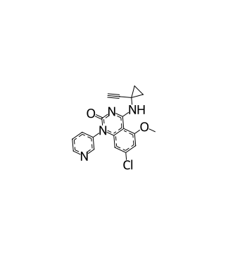 C#CC1(Nc2nc(=O)n(-c3cccnc3)c3cc(Cl)cc(OC)c23)CC1